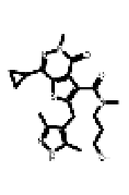 Cc1n[nH]c(C)c1Cc1sc2c(C3CC3)nn(C)c(=O)c2c1C(=O)N(C)CCCO